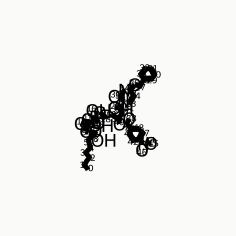 CCCCCCP(=O)(O)OP(=O)(O)OP(=O)(O)OC[C@H]1O[C@@H](n2ccc(OCc3ccccc3)nc2=O)[C@H]2OC(c3ccc([N+](=O)[O-])cc3)OC12